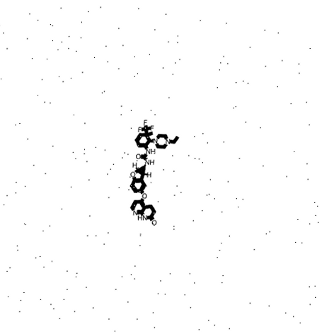 CCN1CCN(C2C(NC(=O)N[C@@H]3[C@H]4Oc5ccc(Oc6ccnc7c6CCC(=O)N7)cc5[C@@H]34)=CC=CC2(C)C(F)(F)F)CC1